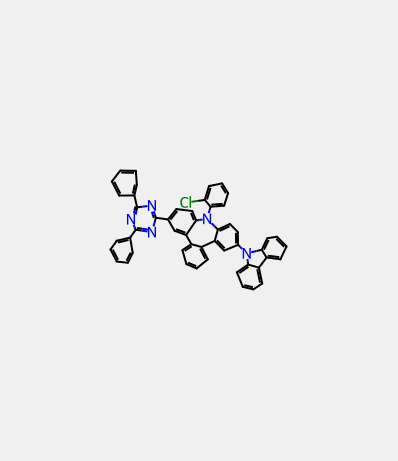 Clc1ccccc1N1c2ccc(-c3nc(-c4ccccc4)nc(-c4ccccc4)n3)cc2-c2ccccc2-c2cc(-n3c4ccccc4c4ccccc43)ccc21